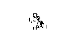 CCCNC1=NCC(COc2ccccc2C)O1